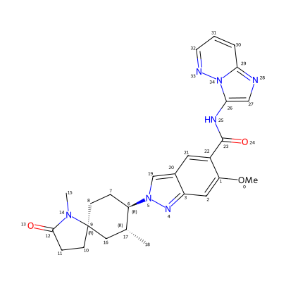 COc1cc2nn([C@@H]3CC[C@@]4(CCC(=O)N4C)C[C@H]3C)cc2cc1C(=O)Nc1cnc2cccnn12